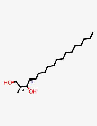 CCCCCCCCCCCCC/C=C/C(O)[C@@H](C)CO